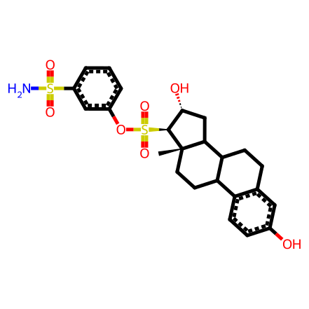 C[C@]12CCC3c4ccc(O)cc4CCC3C1C[C@@H](O)[C@@H]2S(=O)(=O)Oc1cccc(S(N)(=O)=O)c1